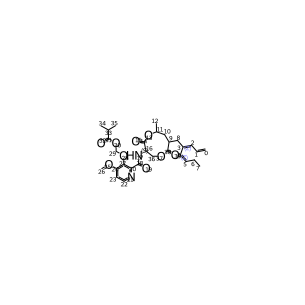 C=C/C=C(\C=C/CC)CC1CC(C)OC(=O)[C@@H](NC(=O)c2nccc(OC)c2OCOC(=O)C(C)C)COC1=O